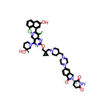 C[C@@]1(O)CCCN(c2nc(OCC3(CN4CCC(CN5CCN(c6ccc7c(c6)CN([C@H]6CCC(=O)NC6=O)C7=O)CC5)CC4)CC3)nc3c(F)c(-c4cc(O)cc5cccc(Cl)c45)ncc23)C1